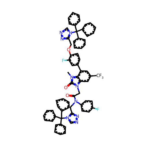 Cn1c(=O)n(CC(=O)N(Cc2nncn2C(c2ccccc2)(c2ccccc2)c2ccccc2)c2ccc(F)cc2)c2cc(C(F)(F)F)cc(-c3ccc(OCc4nncn4C(c4ccccc4)(c4ccccc4)c4ccccc4)c(F)c3)c21